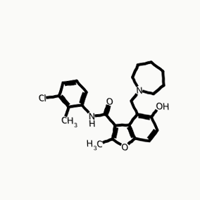 Cc1oc2ccc(O)c(CN3CCCCCC3)c2c1C(=O)Nc1cccc(Cl)c1C